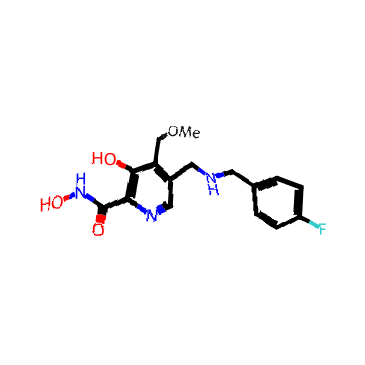 COCc1c(CNCc2ccc(F)cc2)cnc(C(=O)NO)c1O